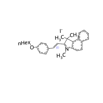 CCCCCCOc1ccc(/C=C/C2=[N+](C)c3ccc4ccccc4c3C2(C)C)cc1.[I-]